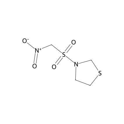 O=[N+]([O-])CS(=O)(=O)N1CCSC1